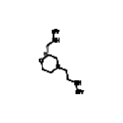 CCCNCCN1CCO[C@H](CNCCC)C1